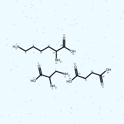 NCC(N)C(=O)O.NCCCCC(N)C(=O)O.O=C(O)CCC(=O)O